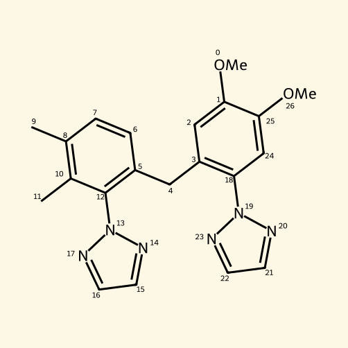 COc1cc(Cc2ccc(C)c(C)c2-n2nccn2)c(-n2nccn2)cc1OC